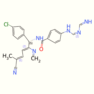 C=N/C(=C\C=C(/C)C#N)[C@@H](NC(=O)c1ccc(N/C=N\C=N)cc1)c1ccc(Cl)cc1